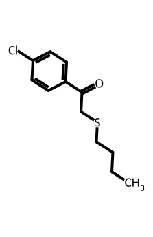 CCCCSCC(=O)c1ccc(Cl)cc1